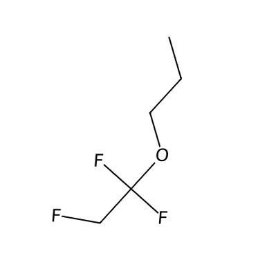 CCCOC(F)(F)CF